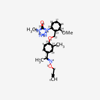 C#CCON=C(C)c1ccc(OCc2c(OC)cccc2-n2nnn(C)c2=O)c(C)c1